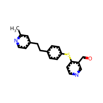 Cc1cc(CCc2ccc(Sc3ccncc3C=O)cc2)ccn1